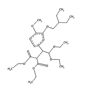 CCOC(=O)C(C(=O)OCC)C(c1ccc(OC)c(OCC(CC)CC)c1)C(OCC)OCC